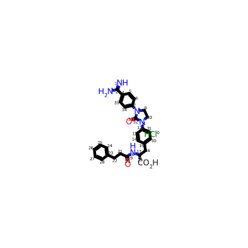 Cl.N=C(N)c1ccc(N2CCN(c3ccc(CC(NC(=O)CCc4ccccc4)C(=O)O)cc3)C2=O)cc1